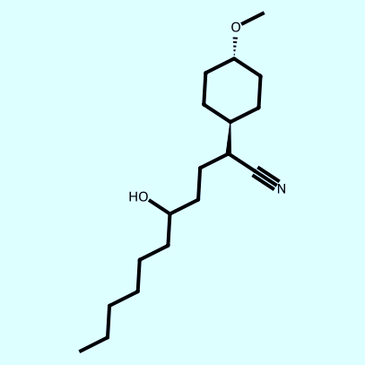 CCCCCCC(O)CCC(C#N)[C@H]1CC[C@H](OC)CC1